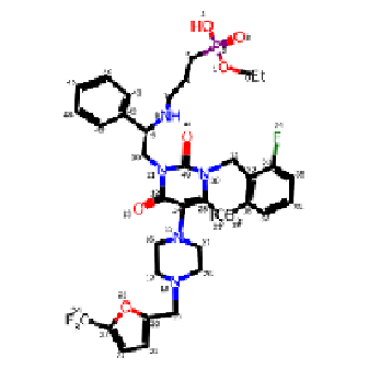 CCOP(=O)(O)CCCN[C@@H](Cn1c(=O)c(N2CCN(Cc3ccc(C(F)(F)F)o3)CC2)c(C)n(Cc2c(F)cccc2C(F)(F)F)c1=O)c1ccccc1